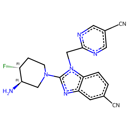 N#Cc1cnc(Cn2c(N3CC[C@@H](F)[C@H](N)C3)nc3cc(C#N)ccc32)nc1